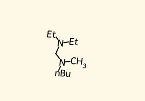 CCCCN(C)CN(CC)CC